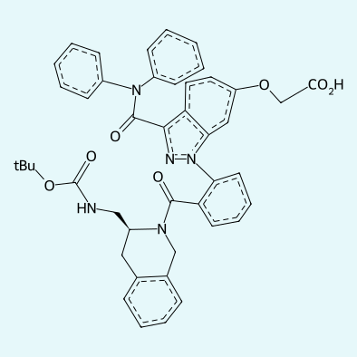 CC(C)(C)OC(=O)NC[C@@H]1Cc2ccccc2CN1C(=O)c1ccccc1-n1nc(C(=O)N(c2ccccc2)c2ccccc2)c2ccc(OCC(=O)O)cc21